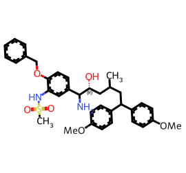 COc1ccc(C(CC(C)C[C@@H](O)C(N)c2ccc(OCc3ccccc3)c(NS(C)(=O)=O)c2)c2ccc(OC)cc2)cc1